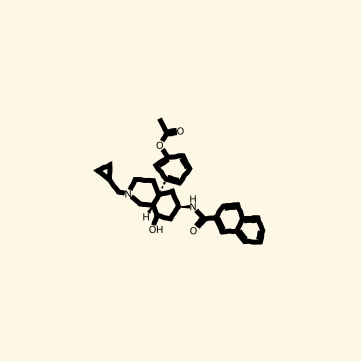 CC(=O)Oc1cccc([C@@]23CCN(CC4CC4)C[C@H]2C(O)C[C@H](NC(=O)c2ccc4ccccc4c2)C3)c1